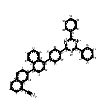 N#Cc1cccc2ccc(-c3ccc(-c4ccc(-c5nc(-c6ccccc6)nc(-c6ccccc6)n5)cc4)c4ccccc34)cc12